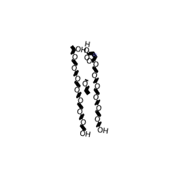 C=CCOC.CC(O)COCCOCCOCCOCCOCCOCCOCCO.O=C(O)/C=C\C(=O)OCCOCCOCCOCCOCCOCCO